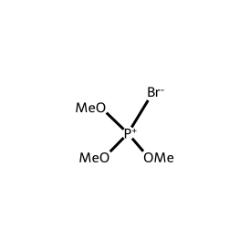 CO[P+](C)(OC)OC.[Br-]